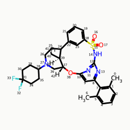 Cc1cccc(C)c1-c1cc2nc(n1)NS(=O)(=O)c1cccc(c1)C1CCN(C3CCC(F)(F)CC3)C[C@@H](O2)[C@H]1CC(C)C